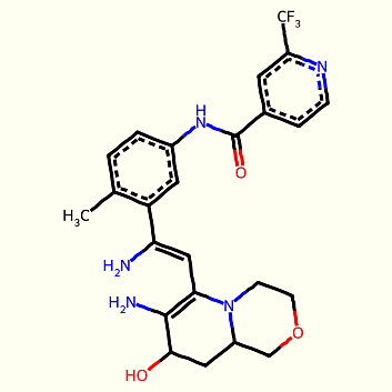 Cc1ccc(NC(=O)c2ccnc(C(F)(F)F)c2)cc1/C(N)=C/C1=C(N)C(O)CC2COCCN12